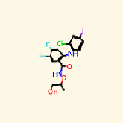 CC(CO)ONC(=O)c1cc(F)c(F)cc1Nc1ccc(I)cc1Cl